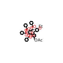 CCOc1ccc(Cc2ccc(COC(C)=O)cc2[C@@]2(O)O[C@H]([C@H](C)OC(=O)c3ccccc3)[C@@H](OC(=O)c3ccccc3)[C@H](OC(=O)c3ccccc3)[C@H]2OC(=O)c2ccccc2)cc1